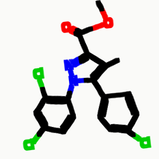 COC(=O)c1nn(-c2ccc(Cl)cc2Cl)c(-c2ccc(Cl)cc2)c1C